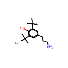 CC(C)(C)c1cc(CCCN)cc(C(C)(C)C)c1O.Cl